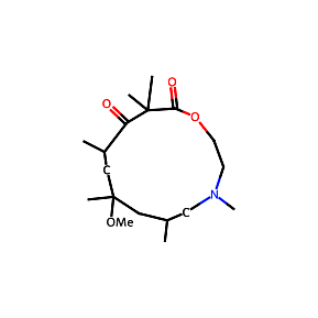 COC1(C)CC(C)CN(C)CCOC(=O)C(C)(C)C(=O)C(C)C1